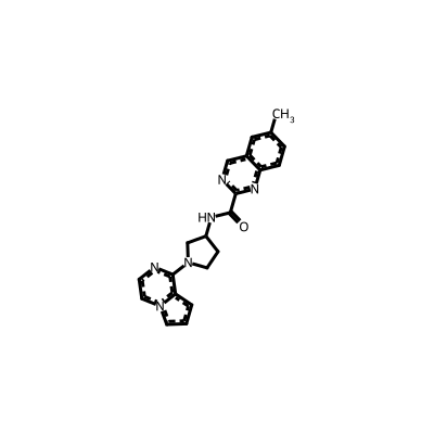 Cc1ccc2nc(C(=O)NC3CCN(c4nccn5cccc45)C3)ncc2c1